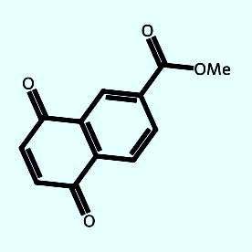 COC(=O)c1ccc2c(c1)C(=O)C=CC2=O